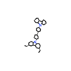 C=Cc1ccc2c(c1)c1cc(C=C)ccc1n2-c1ccc(-c2ccc(-n3c4ccccc4c4ccccc43)cc2)cc1